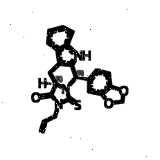 C=CCN1C(=O)[C@H]2Cc3c([nH]c4ccccc34)[C@@H](c3ccc4c(c3)OCO4)N2C1=S